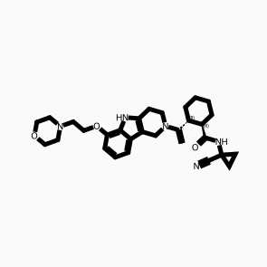 C=C([C@@H]1CCCC[C@H]1C(=O)NC1(C#N)CC1)N1CCc2[nH]c3c(OCCN4CCOCC4)cccc3c2C1